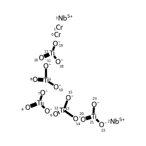 [Cr].[Cr].[Nb+5].[Nb+5].[O]=[Ti]([O-])[O-].[O]=[Ti]([O-])[O-].[O]=[Ti]([O-])[O-].[O]=[Ti]([O-])[O-].[O]=[Ti]([O-])[O-]